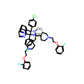 CN(CC1CCN(CCOc2ccccc2F)CC1)C(c1ccc(Cl)cc1)(c1ccccn1)[C@](c1ccc(Cl)cc1)(c1ccccn1)N(C)CC1CCN(CCOc2ccccc2F)CC1